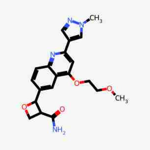 COCCOc1cc(-c2cnn(C)c2)nc2ccc(C3OCC3C(N)=O)cc12